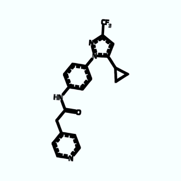 O=C(Cc1ccncc1)Nc1ccc(-n2nc(C(F)(F)F)cc2C2CC2)cc1